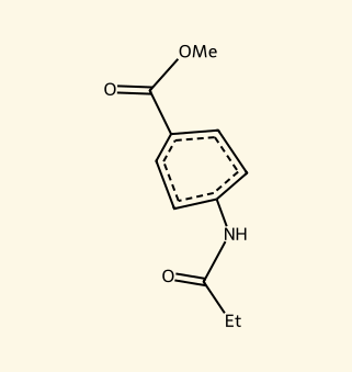 CCC(=O)Nc1ccc(C(=O)OC)cc1